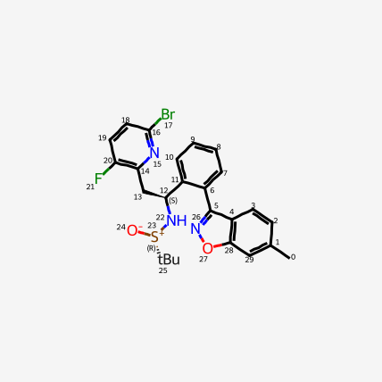 Cc1ccc2c(-c3ccccc3[C@H](Cc3nc(Br)ccc3F)N[S@@+]([O-])C(C)(C)C)noc2c1